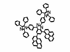 c1ccc(-c2nc(-c3ccccc3)n(-c3ccc(-c4nc(-c5ccc(-n6c(-c7ccccc7)nc(-c7ccccc7)c6-c6ccccc6)cc5)c5cc(-c6ccc7ccc8cccc9ccc6c7c89)cc(-c6ccc7ccc8cccc9ccc6c7c89)c5n4)cc3)c2-c2ccccc2)cc1